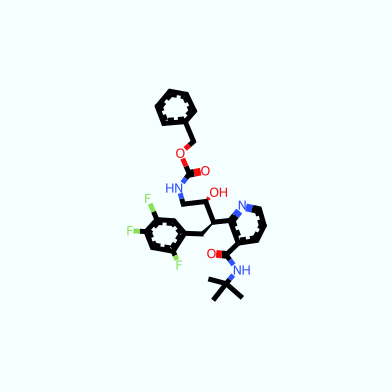 CC(C)(C)NC(=O)c1cccnc1[C@@H](Cc1cc(F)c(F)cc1F)[C@H](O)CNC(=O)OCc1ccccc1